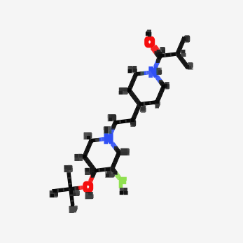 CC(C)C(=O)N1CCC(CCN2CCC(OC(C)(C)C)C(F)C2)CC1